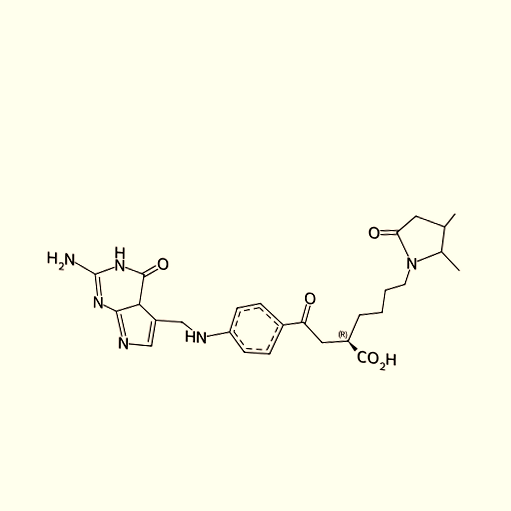 CC1CC(=O)N(CCCC[C@H](CC(=O)c2ccc(NCC3=CN=C4N=C(N)NC(=O)C34)cc2)C(=O)O)C1C